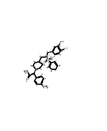 Cc1ccc(C(C(N)=O)C2CCC(CN(Cc3ccc(F)c(F)c3)S(=O)(=O)c3ccccc3)CC2)cc1